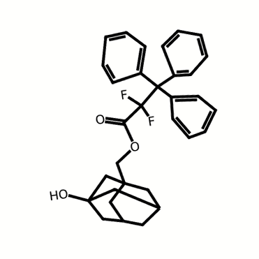 O=C(OCC12CC3CC(CC(O)(C3)C1)C2)C(F)(F)C(c1ccccc1)(c1ccccc1)c1ccccc1